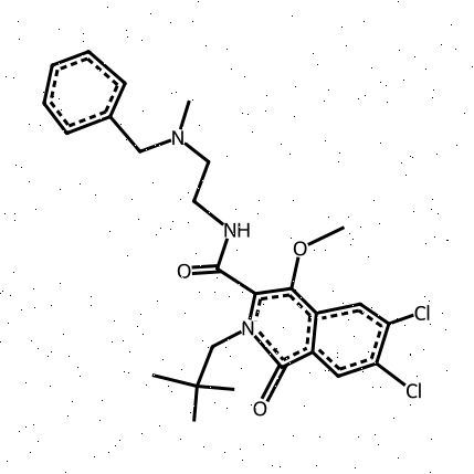 COc1c(C(=O)NCCN(C)Cc2ccccc2)n(CC(C)(C)C)c(=O)c2cc(Cl)c(Cl)cc12